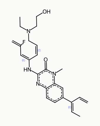 C=C/C(=C\C)c1ccc2nc(NC(/C=C\CN(CC)CCO)=C/C(=C)F)c(=O)n(C)c2c1